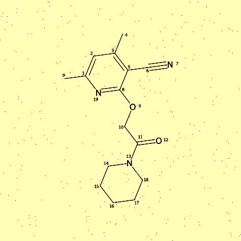 Cc1cc(C)c(C#N)c(OCC(=O)N2CCCCC2)n1